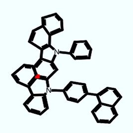 c1ccc(-c2ccccc2N(c2ccc(-c3cccc4ccccc34)cc2)c2ccc3c4ccc5ccccc5c4n(-c4ccccc4)c3c2)cc1